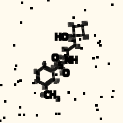 Cc1cccc(S(=O)(=O)NCCC2(O)CCC2)c1